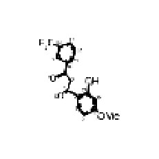 COc1ccc(C(=O)CC(=O)c2cccc(C(F)(F)F)c2)c(O)c1